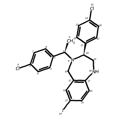 C[C@H](c1ccc(Cl)cc1)N1Cc2cc(I)ccc2NC[C@@H]1c1ccc(Cl)cc1